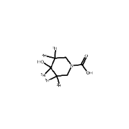 [2H]C1([2H])CN(C(=O)O)CC([2H])([2H])C1([2H])O